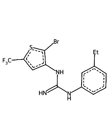 CCc1cccc(NC(=N)Nc2cc(C(F)(F)F)sc2Br)c1